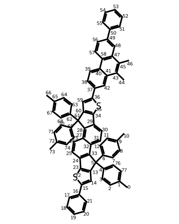 Cc1ccc(C2(c3ccc(C)cc3)c3cc(-c4ccccc4)sc3-c3ccc4c5c(ccc4c32)-c2sc(-c3ccc4c(c3)c(C)c(C)c3cc(-c6ccccc6)ccc34)cc2C5(c2ccc(C)cc2)c2ccc(C)cc2)cc1